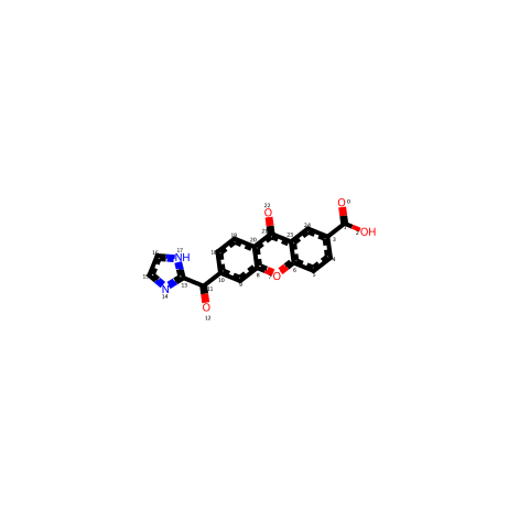 O=C(O)c1ccc2oc3cc(C(=O)c4ncc[nH]4)ccc3c(=O)c2c1